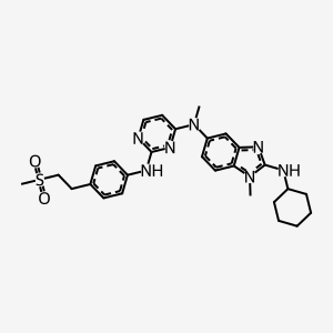 CN(c1ccc2c(c1)nc(NC1CCCCC1)n2C)c1ccnc(Nc2ccc(CCS(C)(=O)=O)cc2)n1